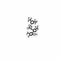 CC(C)c1cc(-c2ccc(C(F)(F)F)cc2CN2C(=O)O[C@H](c3cc(C(F)(F)F)cc(C(F)(F)F)c3)[C@@H]2C)c(O)cc1F